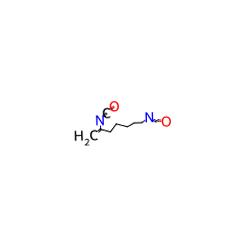 C=C(CCCCCN=C=O)N=C=O